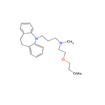 COCCOCCN(C)CCCN1c2ccccc2CCc2ccccc21